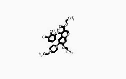 CCOC(=O)c1cnc2cc(OCC)c(N3CCN(CC)CC3)cc2c1Nc1cccc(Cl)c1C